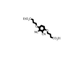 CCOC(=O)CCCOc1ccc(OCCCC(=O)OCC)c(C#N)c1C#N